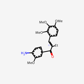 CC/C(=C\c1ccc(OC)c(OC)c1OC)C(=O)c1ccc(N)c(OC)c1